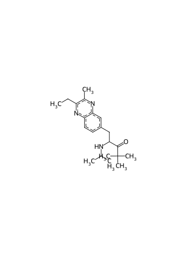 CCc1nc2ccc(CC(NC(C)C)C(=O)C(C)(C)C)cc2nc1C